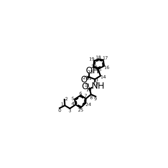 CC(C)Cc1ccc(C(C)C(=O)NC(Cc2ccccc2)C(=O)O)cc1